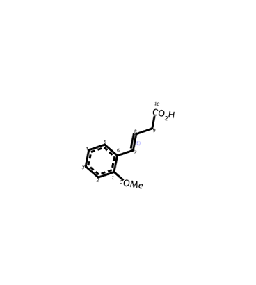 COc1ccccc1/C=C/CC(=O)O